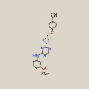 CNC(=O)c1cccc(Nc2ncnc(N3CC(COc4ccc(C#N)cc4)C3)n2)c1